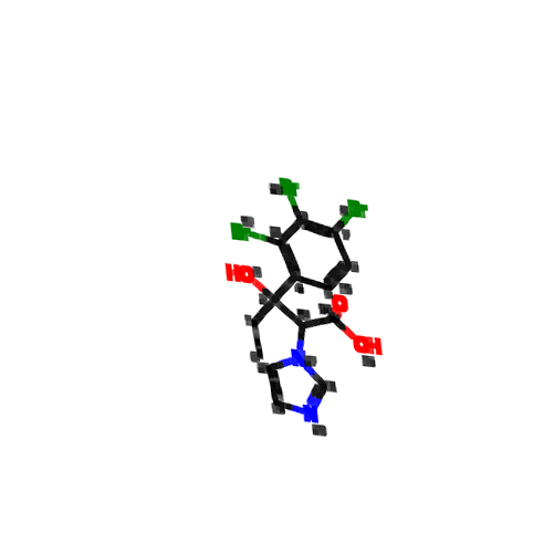 CCC(O)(c1ccc(Br)c(Br)c1Br)C(C(=O)O)n1ccnc1